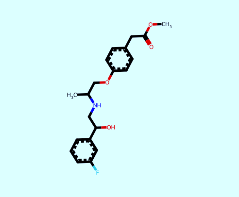 COC(=O)Cc1ccc(OCC(C)NCC(O)c2cccc(F)c2)cc1